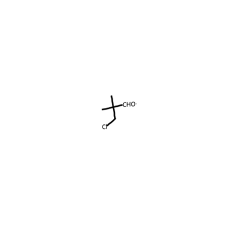 CC(C)([C]=O)CCl